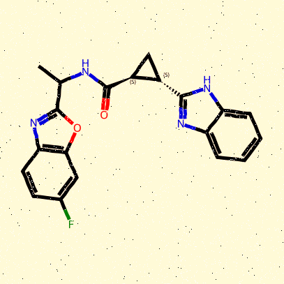 CC(NC(=O)[C@H]1C[C@@H]1c1nc2ccccc2[nH]1)c1nc2ccc(F)cc2o1